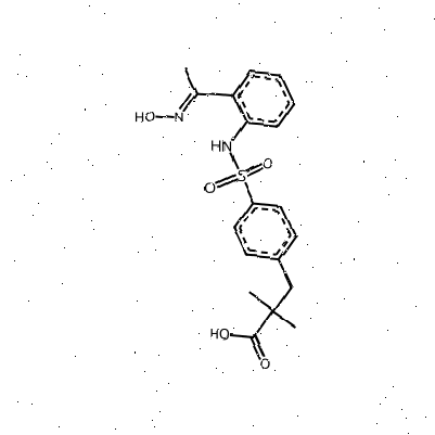 CC(=NO)c1ccccc1NS(=O)(=O)c1ccc(CC(C)(C)C(=O)O)cc1